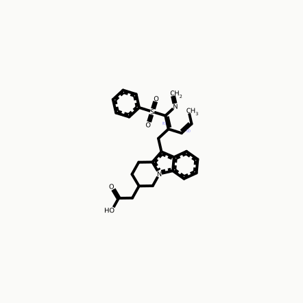 C=N/C(=C(\C=C/C)Cc1c2n(c3ccccc13)CC(CC(=O)O)CC2)S(=O)(=O)c1ccccc1